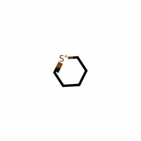 C1=[S+]CCCC1